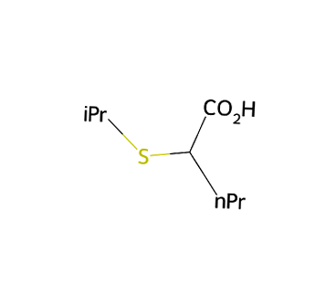 CCCC(SC(C)C)C(=O)O